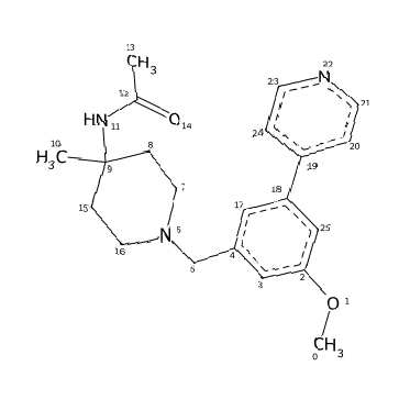 COc1cc(CN2CCC(C)(NC(C)=O)CC2)cc(-c2ccncc2)c1